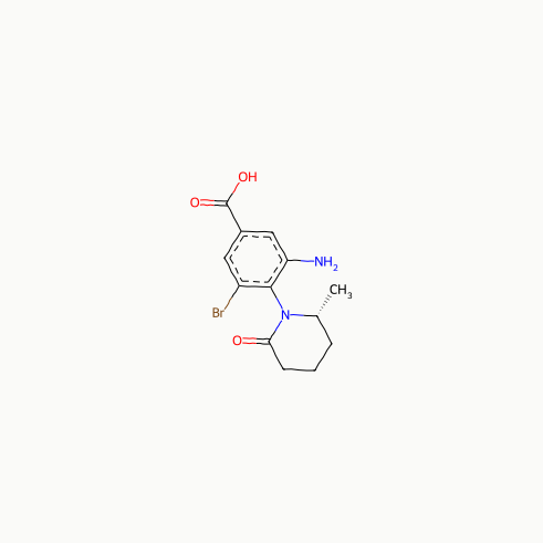 C[C@@H]1CCCC(=O)N1c1c(N)cc(C(=O)O)cc1Br